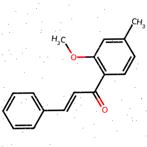 COc1cc(C)ccc1C(=O)/C=C/c1ccccc1